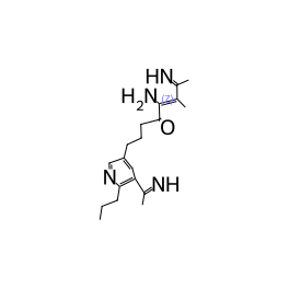 CCCc1ncc(CCCC(=O)/C(N)=C(\C)C(C)=N)cc1C(C)=N